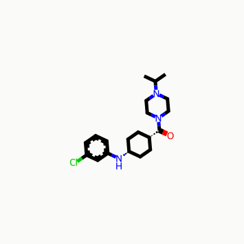 CC(C)N1CCN(C(=O)[C@H]2CC[C@@H](Nc3cccc(Cl)c3)CC2)CC1